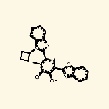 Cn1c(-c2nc3ccccc3n2C2CCC2)nc(-c2nc3ccccc3o2)c(O)c1=O